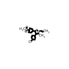 CC=Cn1nc(-c2ccc(S(C)(=O)=O)cc2)c(-c2ccc(Cl)cc2)c1C